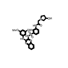 COc1cc(Nc2nc3ccccc3nc2NS(=O)(=O)c2cccc(NC(=O)CN3CCC(O)C3)c2)cc(OC)c1